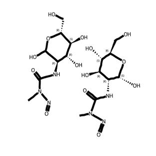 CN(N=O)C(=O)N[C@@H]1[C@@H](O)[C@H](O)[C@@H](CO)O[C@@H]1O.CN(N=O)C(=O)N[C@H]1C(O)O[C@H](CO)[C@@H](O)[C@@H]1O